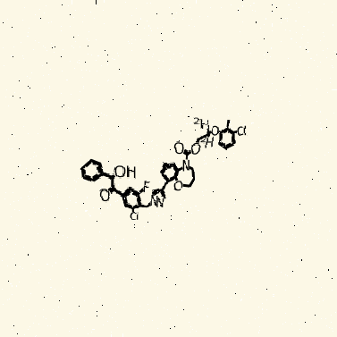 [2H]C([2H])(COC(=O)N1CCCOc2c(-c3cnn(Cc4c(F)cc(C(=O)C(O)c5ccccc5)cc4Cl)c3)cccc21)Oc1cccc(Cl)c1C